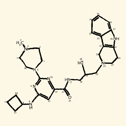 CN1CCN(c2nc(NC3CCC3)cc(C(=O)NCC(O)CN3CCc4[nH]c5ccccc5c4C3)n2)CC1